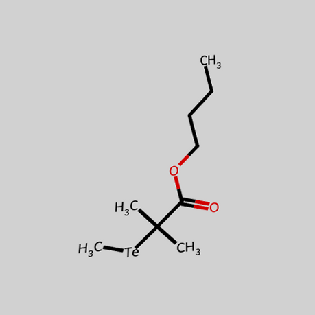 CCCCOC(=O)C(C)(C)[Te]C